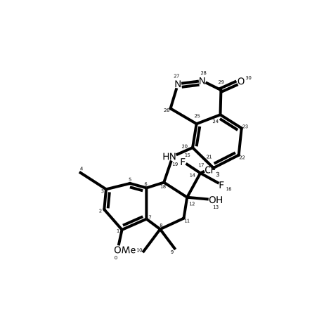 COc1cc(C)cc2c1C(C)(C)CC(O)(C(F)(F)C(F)(F)F)C2Nc1cccc2c1CN=NC2=O